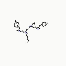 CCCCC/C=C(\CC/C=C(/C)CN1CCCN(C)CC1)CC/C=C(/CI)CC/C=C(/C)CN1CCN(C)CC1